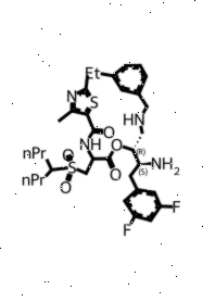 CCCC(CCC)S(=O)(=O)CC(NC(=O)c1sc(C)nc1C)C(=O)O[C@H](CNCc1cccc(CC)c1)[C@@H](N)Cc1cc(F)cc(F)c1